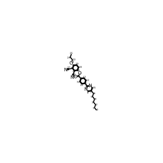 CCCCCCCc1cnc(-c2ccc(C(=O)Oc3ccc(OCCC)c(C#N)c3C#N)cc2)nc1